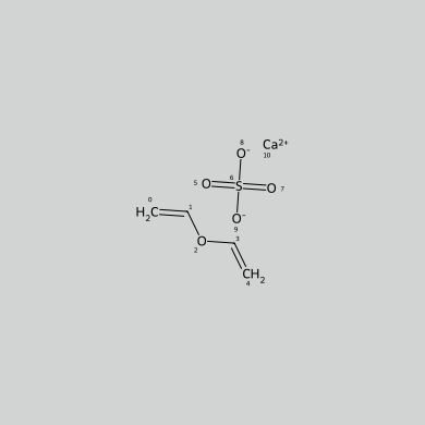 C=COC=C.O=S(=O)([O-])[O-].[Ca+2]